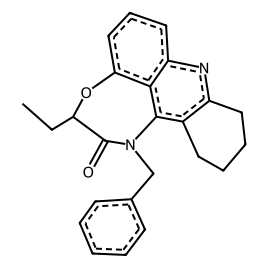 CCC1Oc2cccc3nc4c(c(c23)N(Cc2ccccc2)C1=O)CCCC4